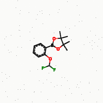 CC1(C)OB(c2ccccc2OC(F)F)OC1(C)C